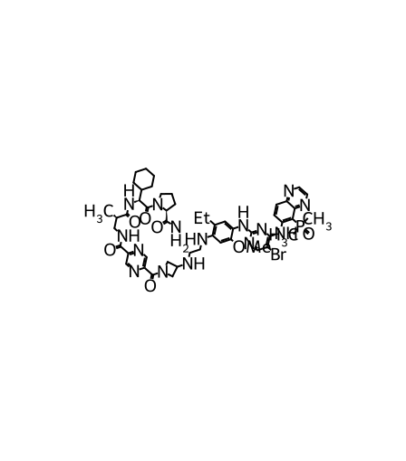 CCc1cc(Nc2ncc(Br)c(Nc3ccc4nccnc4c3P(C)(C)=O)n2)c(OC)cc1NCCNC1CN(C(=O)c2cnc(C(=O)NC[C@@H](C)C(=O)N[C@H](C(=O)N3CCC[C@H]3C(N)=O)C3CCCCC3)cn2)C1